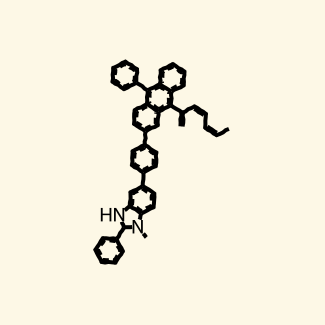 C=C(/C=C\C=C/C)c1c2ccccc2c(-c2ccccc2)c2ccc(-c3ccc(-c4ccc5c(c4)NC(c4ccccc4)N5C)cc3)cc12